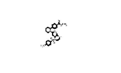 COC(=O)c1ccc(C2CCCCN2C(=O)CC2C(=O)NC=CN2S(=O)(=O)c2ccc(C)cc2)cc1